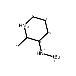 CC1NCCCC1NC(C)(C)C